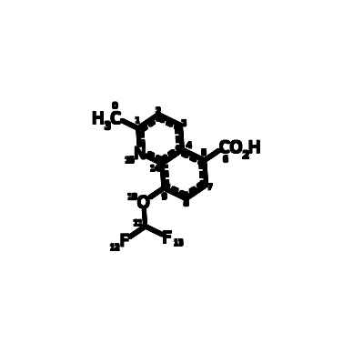 Cc1ccc2c(C(=O)O)ccc(OC(F)F)c2n1